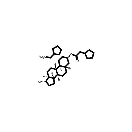 CC(=O)[C@H]1CC[C@H]2[C@@H]3CC[C@H]4C[C@H](OC(=O)CC5CCCC5)CC[C@]4(C)[C@H]3CC[C@]12C.O=C(O)CC1CCCC1